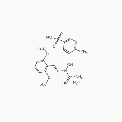 COc1cccc(OC)c1C=NN(O)C(=N)N.Cc1ccc(S(=O)(=O)O)cc1.O